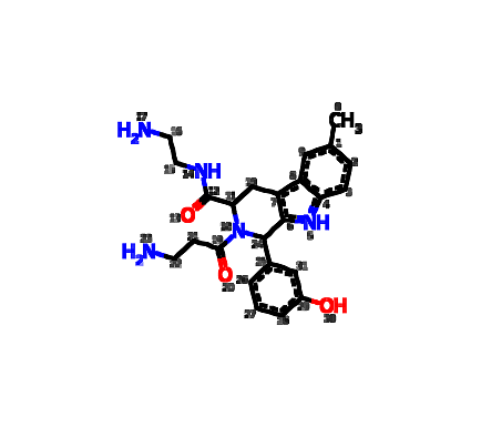 Cc1ccc2[nH]c3c(c2c1)CC(C(=O)NCCN)N(C(=O)CCN)C3c1cccc(O)c1